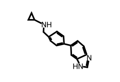 c1nc2ccc(-c3ccc(CNC4CC4)cc3)cc2[nH]1